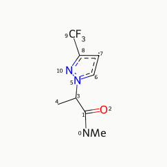 CNC(=O)C(C)n1c[c]c(C(F)(F)F)n1